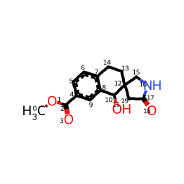 COC(=O)c1ccc2c(c1)C(O)C1(CC2)CNC(=O)C1